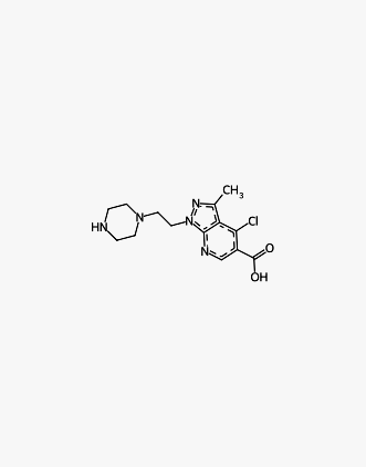 Cc1nn(CCN2CCNCC2)c2ncc(C(=O)O)c(Cl)c12